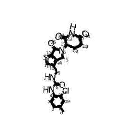 Cc1ccc(NC(=O)NCc2csc3c2CN(C2CCC(=O)NC2=O)C3=O)c(Cl)c1